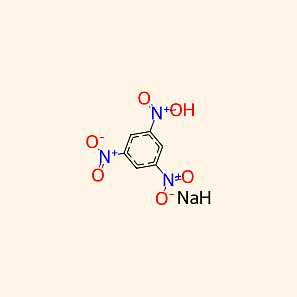 O=[N+]([O-])c1cc([N+](=O)[O-])cc([N+](=O)O)c1.[NaH]